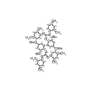 COc1cc(-c2cc(OC)cc(C(C)(C)C)c2OP(Oc2ccc(C)cc2C)Oc2ccc(C)cc2C)c(OP(Oc2ccc(C)cc2C)Oc2ccc(C)cc2C)c(C(C)(C)C)c1